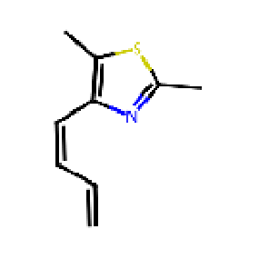 C=C/C=C\c1nc(C)sc1C